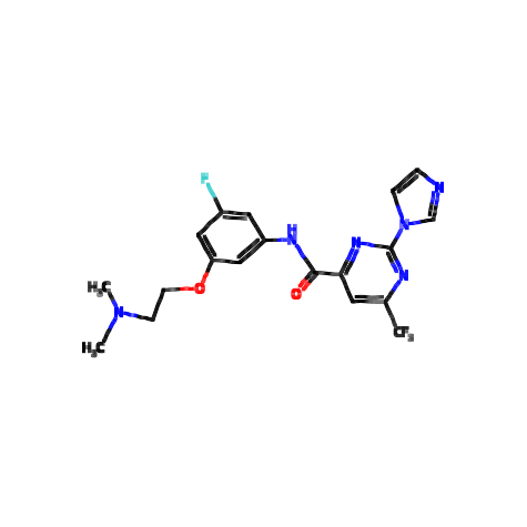 CN(C)CCOc1cc(F)cc(NC(=O)c2cc(C(F)(F)F)nc(-n3ccnc3)n2)c1